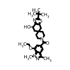 CCOc1cc(C(=O)N2CCC3(CC2)Cc2sc(C(C)(C)C)nc2[C@@H](O)C3)cc2c(C)nn(C)c12